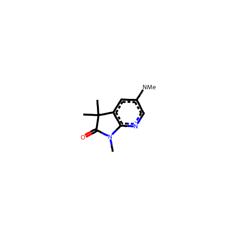 CNc1cnc2c(c1)C(C)(C)C(=O)N2C